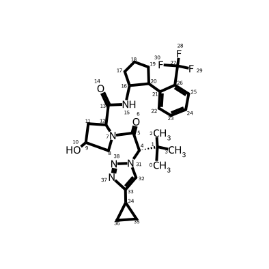 CC(C)(C)[C@@H](C(=O)N1CC(O)CC1C(=O)NC1CCCC1c1ccccc1C(F)(F)F)n1cc(C2CC2)nn1